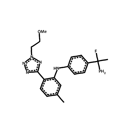 COCCn1nnc(-c2ccc(C)cc2Nc2ccc(C(C)(F)P)cc2)n1